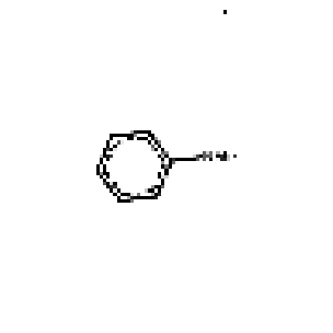 CNc1[c]cccc1